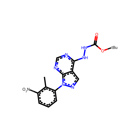 Cc1c(-n2ncc3c(NNC(=O)OC(C)(C)C)ncnc32)cccc1[N+](=O)[O-]